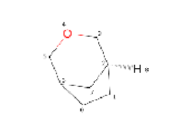 C1C[C@@H]2COCC1C2